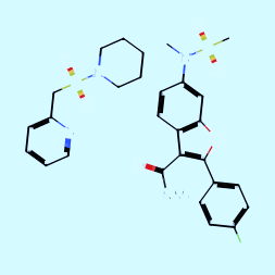 CNC(=O)c1c(-c2ccc(F)cc2)oc2cc(N(C)S(C)(=O)=O)c([C@H]3CCCN(S(=O)(=O)Cc4ccccn4)C3)cc12